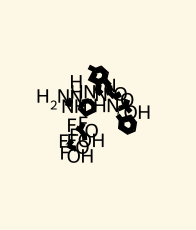 Cc1ccc2nc(C(=O)N[C@@H](Cc3ccccc3)C(=O)O)nc(NC3CCCCC3NC(=N)N)c2c1.O=C(O)C(F)(F)F.O=C(O)C(F)(F)F